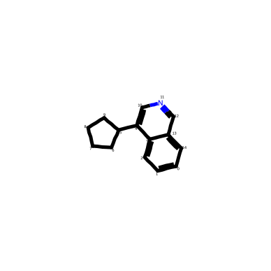 c1ccc2c(C3CCCC3)cncc2c1